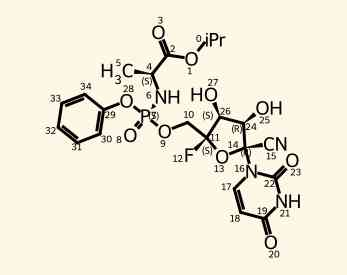 CC(C)OC(=O)[C@H](C)N[P@](=O)(OC[C@@]1(F)O[C@@](C#N)(n2ccc(=O)[nH]c2=O)[C@H](O)[C@@H]1O)Oc1ccccc1